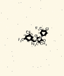 CC1(C)C(=O)N(c2ccc(Cl)c(C(F)(F)F)c2)C(=O)N1Cc1cc(C(F)(F)F)cc(C(F)(F)F)c1